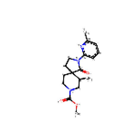 CC1CN(C(=O)OC(C)(C)C)CCC12CCN(c1cccc(C(F)(F)F)n1)C2=O